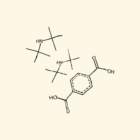 CC(C)(C)NC(C)(C)C.CC(C)(C)NC(C)(C)C.O=C(O)c1ccc(C(=O)O)cc1